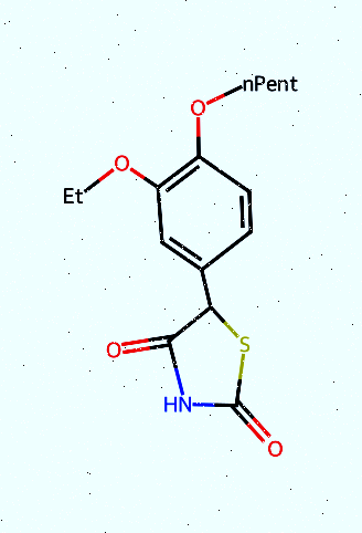 CCCCCOc1ccc(C2SC(=O)NC2=O)cc1OCC